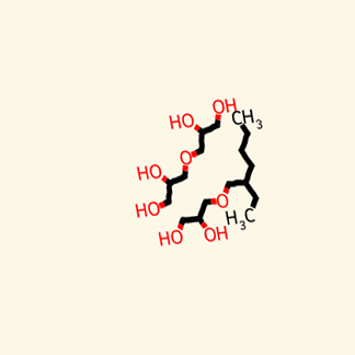 CCCCC(CC)COCC(O)CO.OCC(O)COCC(O)CO